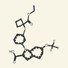 CCOC(=O)C1(Sc2cccc(-n3c(C(=O)O)cc4ccc(OC(F)(F)F)cc43)c2)CCC1